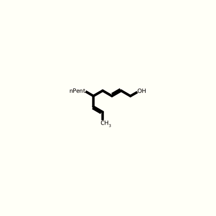 CC=CC(CC=CCO)CCCCC